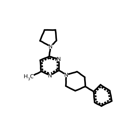 Cc1cc(N2CCCC2)nc(N2CCC(c3ccccc3)CC2)n1